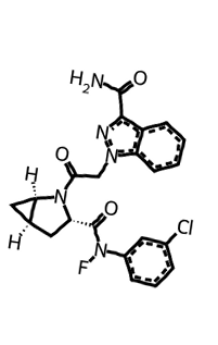 NC(=O)c1nn(CC(=O)N2[C@@H]3C[C@@H]3C[C@H]2C(=O)N(F)c2cccc(Cl)c2)c2ccccc12